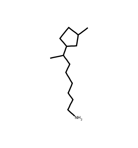 CC1CCC(C(C)CCCCCCN)C1